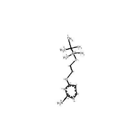 CC(C)(C)[Si](C)(C)OCCOc1ccnc(N)n1